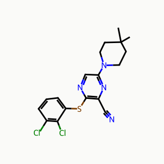 CC1(C)CCN(c2cnc(Sc3cccc(Cl)c3Cl)c(C#N)n2)CC1